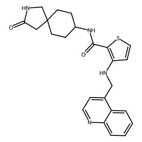 O=C1CC2(CCC(NC(=O)c3sccc3NCc3ccnc4ccccc34)CC2)CN1